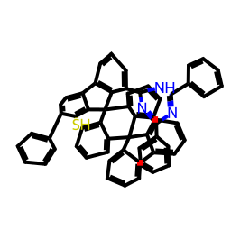 Sc1c(-c2ccccc2)ccc2c1C1(c3ccccc3C3(c4ccccc4-c4ccccc43)c3ccccc31)c1c-2cccc1C1N=C(c2ccccc2)N=C(c2ccccc2)N1